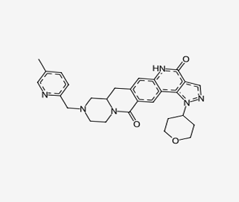 Cc1ccc(CN2CCN3C(=O)c4cc5c(cc4CC3C2)[nH]c(=O)c2cnn(C3CCOCC3)c25)nc1